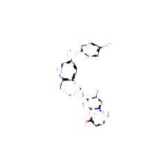 Cc1cc(F)ccc1Nc1cnc2c(c1)CN(c1nn3c(=O)ccnc3cc1C)CC2